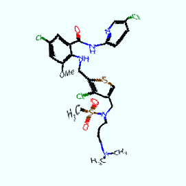 COc1cc(Cl)cc(C(=O)Nc2ccc(Cl)cn2)c1NCc1scc(CN(CCN(C)C)S(C)(=O)=O)c1Cl